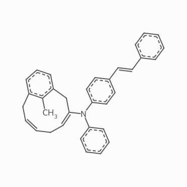 Cc1c2cccc1C/C(N(c1ccccc1)c1ccc(C=Cc3ccccc3)cc1)=C\C/C=C\C2